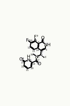 C[C@H](c1c[nH]c(=O)c2c(F)c(F)ccc12)N(C)C(=O)c1cccc(=O)[nH]1